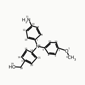 COc1ccc(N(c2ccc(N)cc2)c2ccc(CO)cc2)cc1